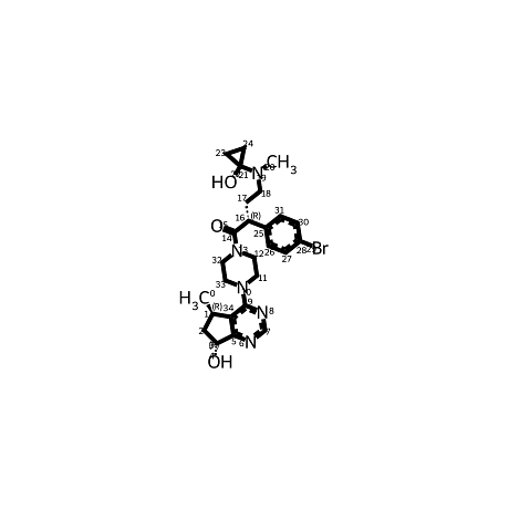 C[C@@H]1C[C@@H](O)c2ncnc(N3CCN(C(=O)[C@H](CCN(C)C4(O)CC4)c4ccc(Br)cc4)CC3)c21